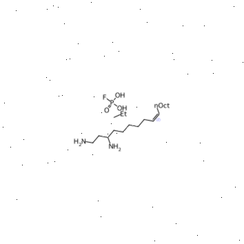 CCC.CCCCCCCC/C=C\CCCCCC(N)CCN.O=P(O)(O)F